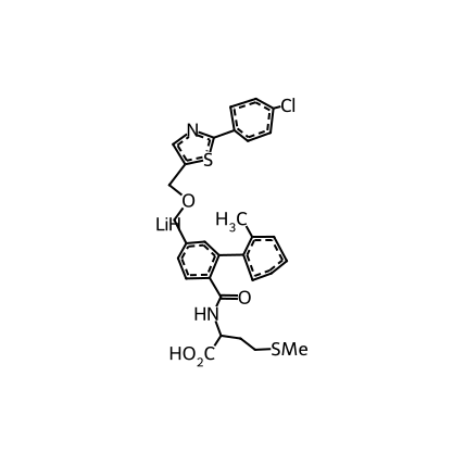 CSCCC(NC(=O)c1ccc(COCc2cnc(-c3ccc(Cl)cc3)s2)cc1-c1ccccc1C)C(=O)O.[LiH]